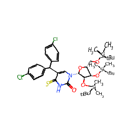 CC(C)(C)[Si](C)(C)OC[C@H]1O[C@@H](n2cc(C(c3ccc(Cl)cc3)c3ccc(Cl)cc3)c(=S)[nH]c2=O)[C@H](O[Si](C)(C)C(C)(C)C)[C@@H]1O[Si](C)(C)C(C)(C)C